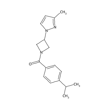 Cc1ccn(C2CN(C(=O)c3ccc(C(C)C)cc3)C2)n1